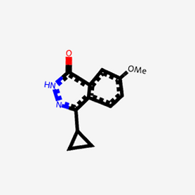 COc1ccc2c(C3CC3)n[nH]c(=O)c2c1